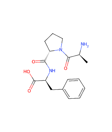 C[C@H](N)C(=O)N1CCC[C@H]1C(=O)N[C@@H](Cc1ccccc1)C(=O)O